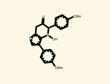 COc1ccc(-c2csc3c2N(O)C(c2ccc(OC)cc2)C(=O)C3)cc1